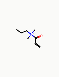 C=CC(=O)[N+](C)(C)[CH]CC